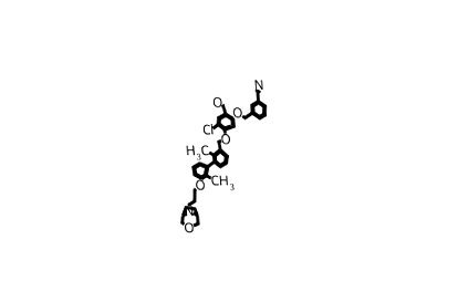 Cc1c(COc2cc(OCc3cccc(C#N)c3)c(C=O)cc2Cl)cccc1-c1cccc(OCCCN2C3CCC2COC3)c1C